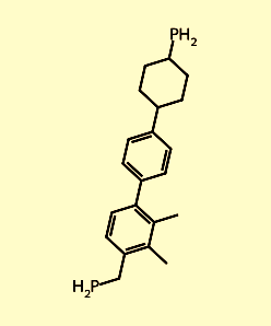 Cc1c(CP)ccc(-c2ccc(C3CCC(P)CC3)cc2)c1C